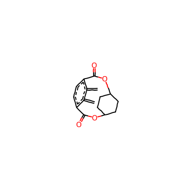 C=c1c2ccc(c1=C)C(=O)OC1CCC(CC1)OC2=O